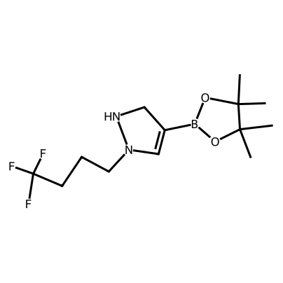 CC1(C)OB(C2=CN(CCCC(F)(F)F)NC2)OC1(C)C